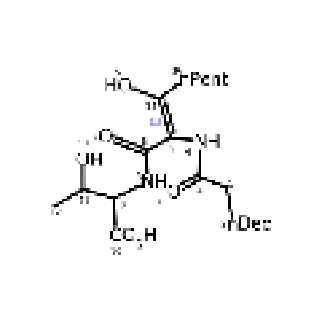 CCCCCCCCCCCC(=O)N/C(C(=O)NC(C(=O)O)C(C)O)=C(/O)CCCCC